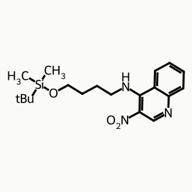 CC(C)(C)[Si](C)(C)OCCCCNc1c([N+](=O)[O-])cnc2ccccc12